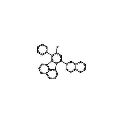 Brc1cc(-c2ccc3ccccc3c2)c2c(c1-c1ccccc1)-c1cccc3cccc-2c13